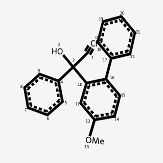 C#CC(O)(c1ccccc1)c1cc(OC)ccc1-c1ccccc1